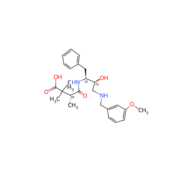 COc1cccc(CNC[C@H](O)[C@H](Cc2ccccc2)NC(=O)[C@H](C)C(C)(C)C(=O)O)c1